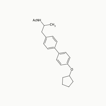 CC(=O)NC(C)Cc1ccc(-c2ccc(OC3CCCC3)cc2)cc1